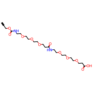 C#CCOC(=O)NCCOCCOCCOCCC(=O)NCCOCCOCCOCCC(=O)O